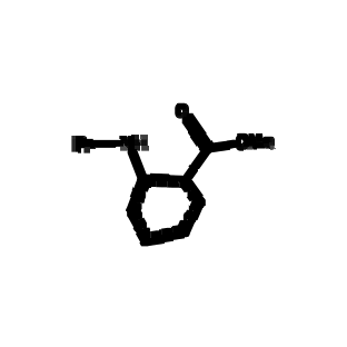 COC(=O)c1ccccc1NC(C)C